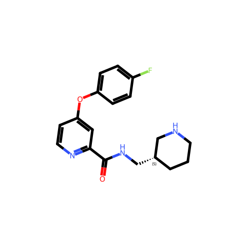 O=C(NC[C@H]1CCCNC1)c1cc(Oc2ccc(F)cc2)ccn1